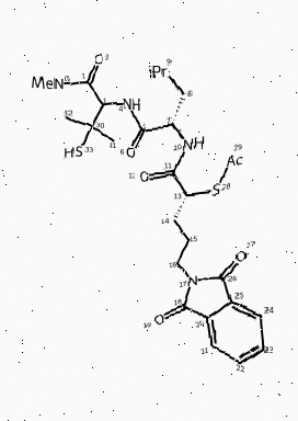 CNC(=O)C(NC(=O)[C@H](CC(C)C)NC(=O)[C@@H](CCCN1C(=O)c2ccccc2C1=O)SC(C)=O)C(C)(C)S